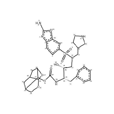 Nc1nc2ccc(S(=O)(=O)N(CC3CCNC3)C[C@@H](O)[C@H](Cc3ccccc3)NC(=O)OC3C4COC5OC3CC5C4)cc2o1